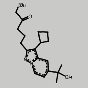 CC(C)(C)CC(=O)CCCc1nn2ccc(C(C)(C)O)cc2c1C1CCC1